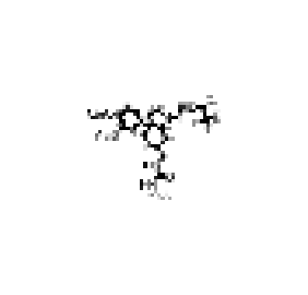 CCCCNC(=O)NSC1CCC2(c3ccc(OC)c(OC)c3)CCN(CC(C)C)C2C1.O=C(O)C(F)(F)F